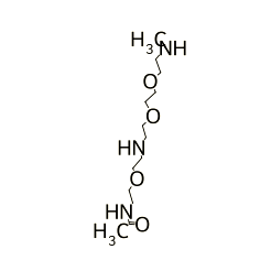 CNCCOCCOCCNCCOCCNC(C)=O